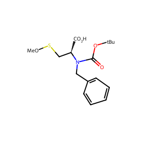 COSC[C@@H](C(=O)O)N(Cc1ccccc1)C(=O)OC(C)(C)C